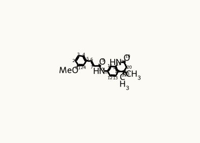 COc1cccc(C=CC(=O)Nc2ccc3c(c2)NC(=O)CC3(C)C)c1